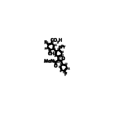 CCCc1cc2oc(-c3ccc(F)cc3)c(C(=O)NC)c2cc1-c1cc(C(=O)O)c(F)cc1C